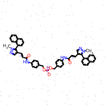 Cn1ncc(/C=C/C(=O)Nc2ccc(CO[PH](=O)OCc3ccc(NC(=O)/C=C/c4cnn(C)c4-c4cccc5ccccc45)cc3)cc2)c1-c1cccc2ccccc12